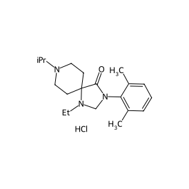 CCN1CN(c2c(C)cccc2C)C(=O)C12CCN(C(C)C)CC2.Cl